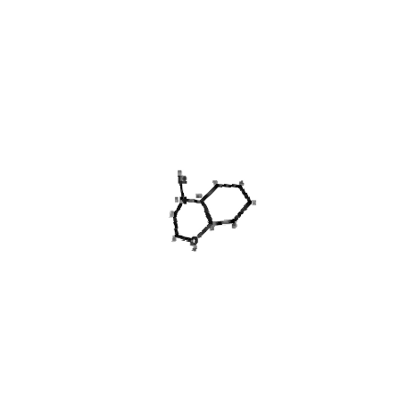 CCN1CCOC2CCCCC21